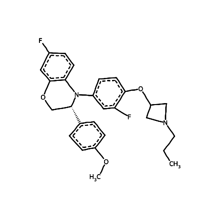 CCCN1CC(Oc2ccc(N3c4ccc(F)cc4OC[C@H]3c3ccc(OC)cc3)cc2F)C1